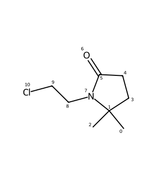 CC1(C)CCC(=O)N1CCCl